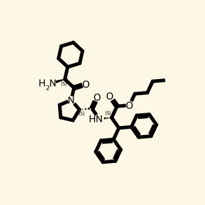 CCCCOC(=O)[C@@H](NC(=O)[C@@H]1CCCN1C(=O)[C@@H](N)C1CCCCC1)C(c1ccccc1)c1ccccc1